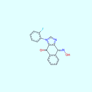 O=C1c2ccccc2C(=NO)c2ncn(-c3ccccc3F)c21